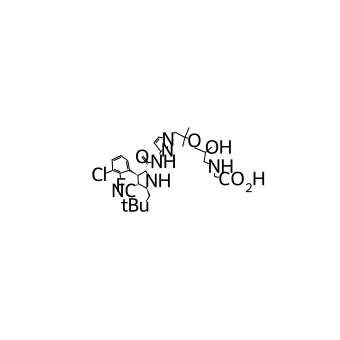 CC(C)(C)C[C@@H]1N[C@@H](C(=O)Nc2ccn(CC(C)(C)OCC(O)CNCC(=O)O)n2)[C@H](c2cccc(Cl)c2F)[C@H]1C#N